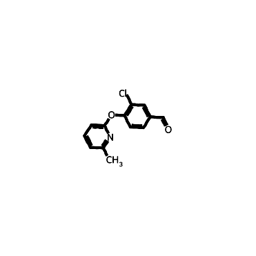 Cc1cccc(Oc2ccc(C=O)cc2Cl)n1